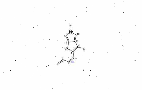 C=C/C=C\c1sc2cn(C)cc2c1C